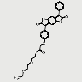 CCOCCOCCOC(=O)COc1ccc(C2=c3cc4c(cc3OC2=O)=C(c2ccccc2)C(=O)O4)cc1